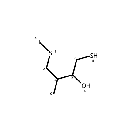 CC(CSI)C(O)CS